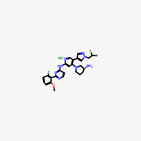 COc1cccc(F)c1-c1nccc(Nc2cc(N3CCC[C@H](N)C3)c(-c3cnn(CC(F)F)c3)cn2)n1.Cl